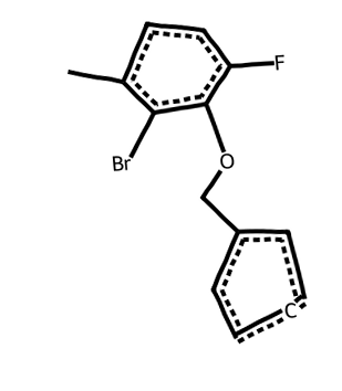 Cc1ccc(F)c(OCc2ccccc2)c1Br